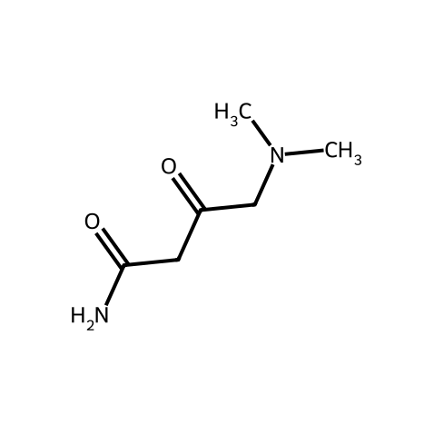 CN(C)CC(=O)CC(N)=O